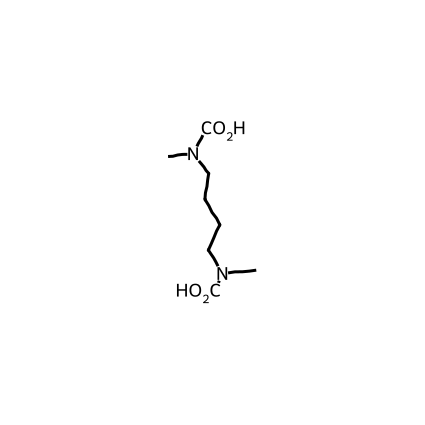 CN(CCCCN(C)C(=O)O)C(=O)O